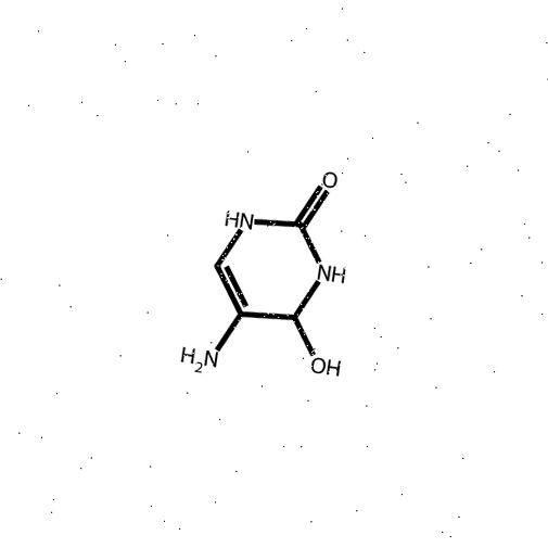 NC1=CNC(=O)NC1O